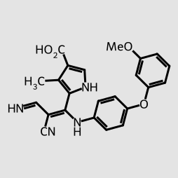 COc1cccc(Oc2ccc(N/C(=C(\C#N)C=N)c3[nH]cc(C(=O)O)c3C)cc2)c1